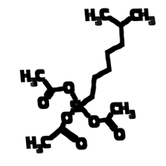 CC(=O)O[Si](CCCCCC(C)C)(OC(C)=O)OC(C)=O